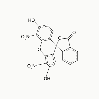 O=C1OC2(c3ccccc31)c1ccc(O)c([N+](=O)[O-])c1Oc1c2ccc(O)c1[N+](=O)[O-]